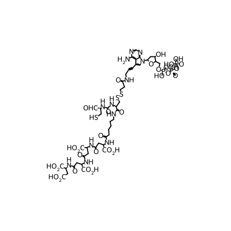 Nc1ncnc2c1c(C#CCNC(=O)CCSSCC(NC(=O)N[C@H](C=O)CS)C(=O)NCCCCCC(=O)NC(CC(=O)NC(CC(=O)NC(CC(=O)NC(CC(=O)O)C(=O)O)C(=O)O)C(=O)O)C(=O)O)cn2C1CC(O)C(COP(=O)(O)OP(=O)(O)OP(=O)(O)O)O1